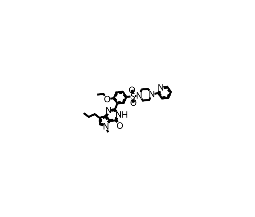 CCCc1cn(C)c2c(=O)[nH]c(-c3cc(S(=O)(=O)N4CCN(c5ccccn5)CC4)ccc3OCC)nc12